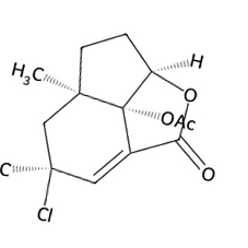 CC(=O)O[C@]12C3=C[C@@](C)(Cl)C[C@@]1(C)CC[C@H]2OC3=O